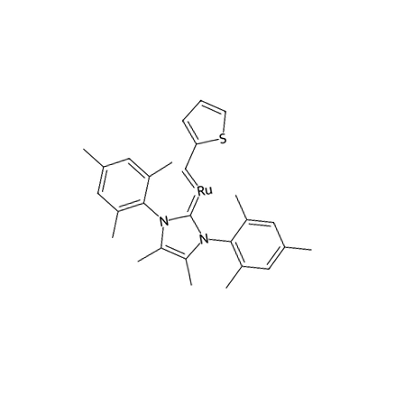 Cc1cc(C)c(-n2c(C)c(C)n(-c3c(C)cc(C)cc3C)[c]2=[Ru]=[CH]c2cccs2)c(C)c1